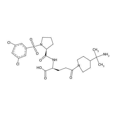 CC(C)(N)C1CCN(C(=O)CC[C@H](NC(=O)[C@@H]2CCCN2S(=O)(=O)c2cc(Cl)cc(Cl)c2)C(=O)O)CC1